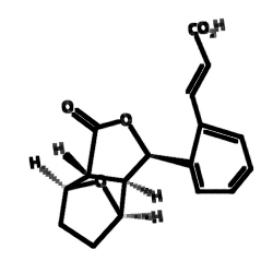 O=C(O)/C=C/c1ccccc1[C@@H]1OC(=O)[C@@H]2[C@@H]1[C@H]1CC[C@@H]2O1